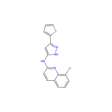 Clc1cccc2ccc(Nc3cc(-c4cccs4)n[nH]3)nc12